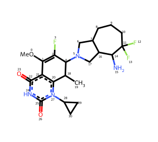 COC1=C(F)C(N2CC3CCCC(F)(F)C(N)C3C2)C(C)c2c1c(=O)[nH]c(=O)n2C1CC1